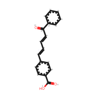 O=C(O)c1ccc(/C=C/C=C/C(=O)c2ccccc2)cc1